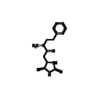 CN(CCc1ccccc1)C(=O)CC1NC(=O)NC1=O